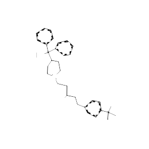 CC(C)(C)c1ccc(CCC(O)CCN2CCC(C(O)(c3ccccc3)c3ccccc3)CC2)cc1